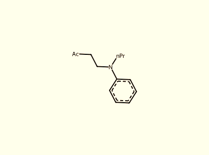 CCCN(CCC(C)=O)c1ccccc1